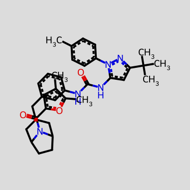 Cc1ccc(-n2nc(C(C)(C)C)cc2NC(=O)Nc2cccc(CC3CC4CCC(C3)N4C(=O)c3cc(C)c(C)o3)c2)cc1